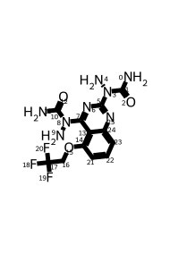 NC(=O)N(N)c1nc(N(N)C(N)=O)c2c(OCC(F)(F)F)cccc2n1